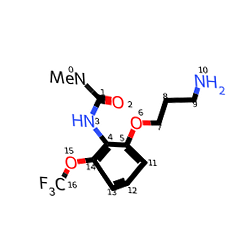 CNC(=O)Nc1c(OCCCN)cccc1OC(F)(F)F